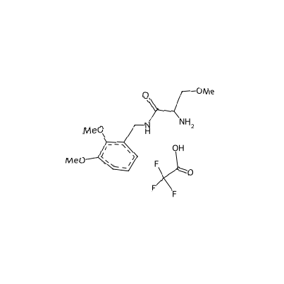 COCC(N)C(=O)NCc1cccc(OC)c1OC.O=C(O)C(F)(F)F